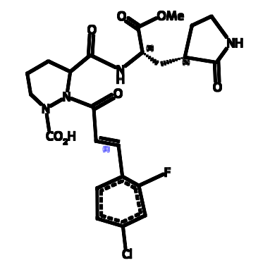 COC(=O)[C@H](C[C@@H]1CCNC1=O)NC(=O)C1CCCN(C(=O)O)N1C(=O)/C=C/c1ccc(Cl)cc1F